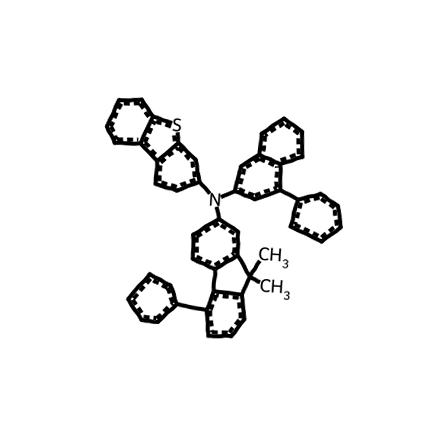 CC1(C)c2cc(N(c3cc(-c4ccccc4)c4ccccc4c3)c3ccc4c(c3)sc3ccccc34)ccc2-c2c(-c3ccccc3)cccc21